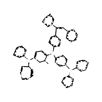 CC1CC(N(c2ccccc2)C2C#CC=CC=C2)=CC=C1N(c1ccc(/C(=C\c2ccccc2)c2ccccc2)cc1)c1ccc(N(c2ccccc2)c2ccccc2)cc1